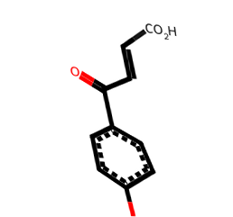 O=C(O)C=CC(=O)c1ccc(O)cc1